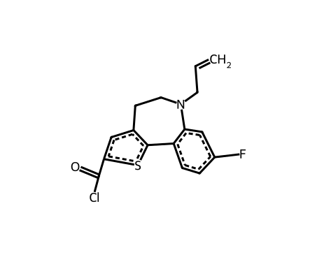 C=CCN1CCc2cc(C(=O)Cl)sc2-c2ccc(F)cc21